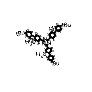 Cc1cc(-c2nc(-c3ccc(-c4ccc(C(C)(C)C)cc4)c(C)c3)nc(-c3ccc(C4C=CC(C(C)(C)C)=CC4C)c(C)c3)n2)ccc1-c1ccc(C(C)(C)C)cc1